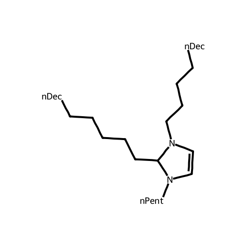 CCCCCCCCCCCCCCCC1N(CCCCC)C=CN1CCCCCCCCCCCCCC